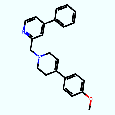 COc1ccc(C2=CCN(Cc3cc(-c4ccccc4)ccn3)CC2)cc1